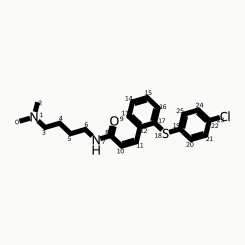 CN(C)CCCCNC(=O)/C=C\c1ccccc1Sc1ccc(Cl)cc1